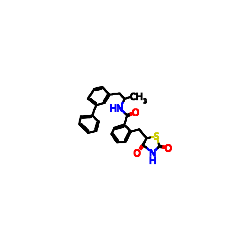 CC(Cc1cccc(-c2ccccc2)c1)NC(=O)c1ccccc1CC1SC(=O)NC1=O